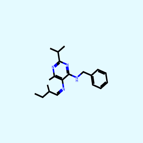 CCC(C)/C=N\c1c(C)nc(C(C)C)nc1NCc1ccccc1